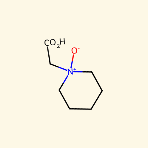 O=C(O)C[N+]1([O-])CCCCC1